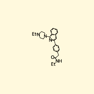 CCNC(=O)Cc1ccc(-c2cc3ccccc3c(N3CCN(CC)CC3)n2)cc1